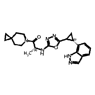 C[C@@H](Nc1nnc(C2C[C@@H]2c2cccc3cn[nH]c23)o1)C(=O)N1CCC2(CC1)CC2